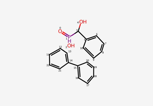 O=[PH](O)C(O)c1ccccc1.c1ccc(-c2ccccc2)cc1